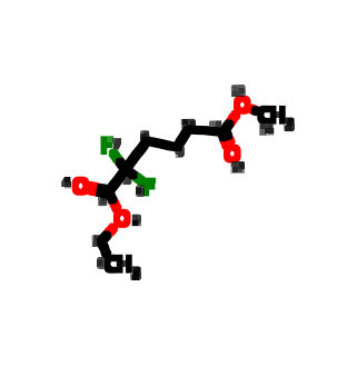 CCOC(=O)C(F)(F)CCCC(=O)OC